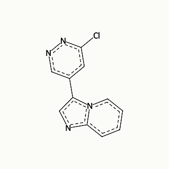 Clc1cc(-c2cnc3ccccn23)cnn1